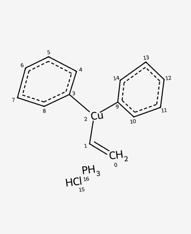 C=[CH][Cu]([c]1ccccc1)[c]1ccccc1.Cl.P